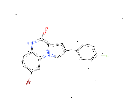 O=c1[nH]c2ccc(Br)cc2n2cc(-c3ccc(F)cc3)cc12